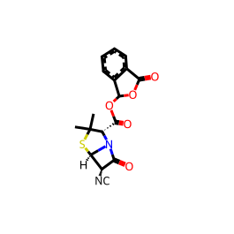 [C-]#[N+][C@@H]1C(=O)N2[C@@H]1SC(C)(C)[C@@H]2C(=O)OC1OC(=O)c2ccccc21